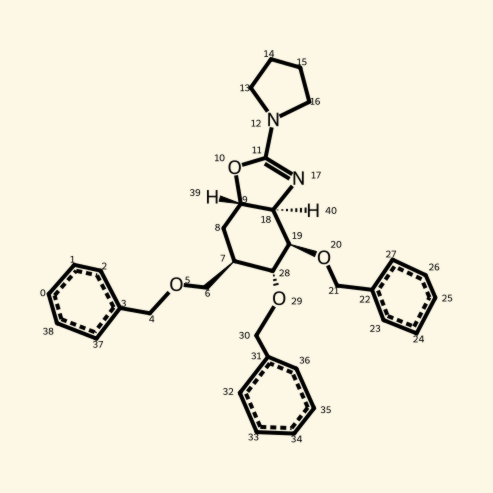 c1ccc(COC[C@H]2C[C@@H]3OC(N4CCCC4)=N[C@H]3[C@@H](OCc3ccccc3)[C@@H]2OCc2ccccc2)cc1